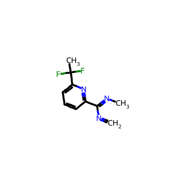 C=N/C(=N\C)c1cccc(C(C)(F)F)n1